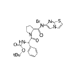 CC(C)(C)OC(=O)NC(C(=O)N1CCCC1C(=O)N(Br)c1cn2ccsc2n1)c1ccccc1